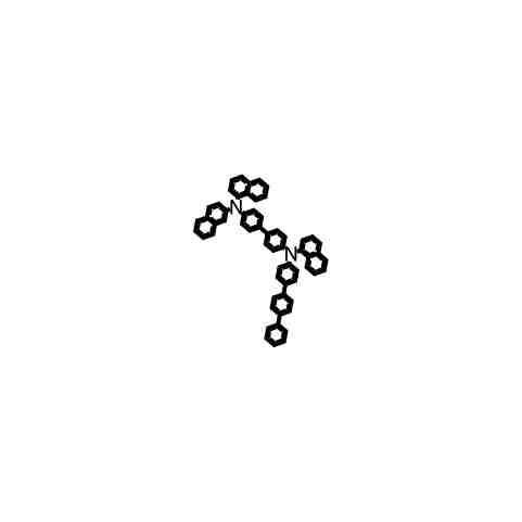 c1ccc(-c2ccc(-c3ccc(N(c4ccc(-c5ccc(N(c6ccc7ccccc7c6)c6cccc7ccccc67)cc5)cc4)c4cccc5ccccc45)cc3)cc2)cc1